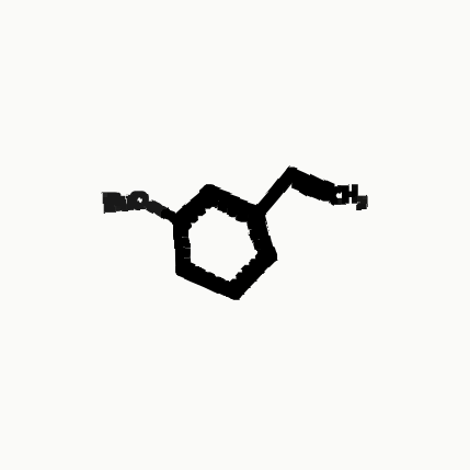 C=Cc1cccc(OCC(C)C)c1